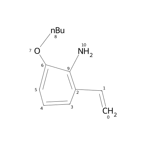 C=Cc1cccc(OCCCC)c1N